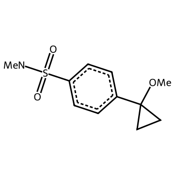 CNS(=O)(=O)c1ccc(C2(OC)CC2)cc1